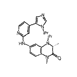 CC(C)N1c2cc(Nc3cc(-c4cncn4C(C)C)ccn3)ccc2N(C)C(=O)[C@H]1C